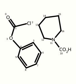 O=C(Cl)Oc1ccccc1.O=C(O)N1CCCCC1